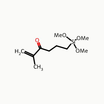 C=C(C)C(=O)CCC[Si](OC)(OC)OC